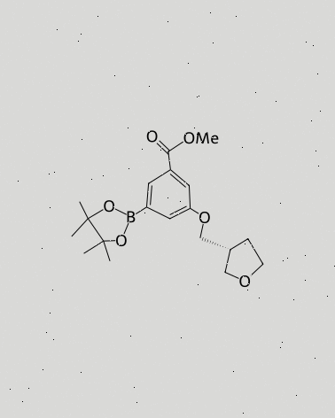 COC(=O)c1cc(OC[C@@H]2CCOC2)cc(B2OC(C)(C)C(C)(C)O2)c1